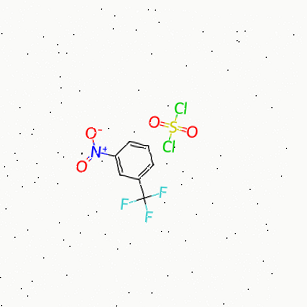 O=S(=O)(Cl)Cl.O=[N+]([O-])c1cccc(C(F)(F)F)c1